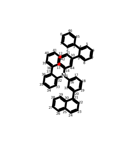 c1ccc(-c2ccccc2-c2cccc(N(c3cccc(-c4cccc5ccccc45)c3)c3ccccc3-c3ccccc3)c2)cc1